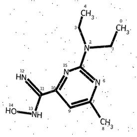 CCN(CC)c1nc(C)cc(C(=N)NO)n1